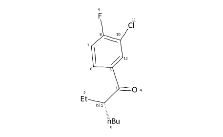 CCCC[C@H](CC)C(=O)c1ccc(F)c(Cl)c1